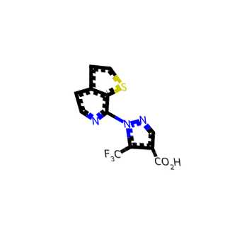 O=C(O)c1cnn(-c2nccc3ccsc23)c1C(F)(F)F